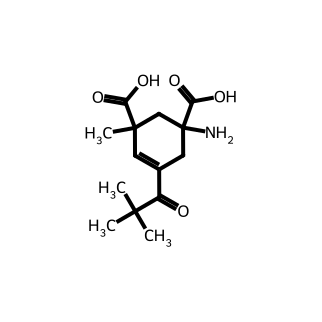 CC(C)(C)C(=O)C1=CC(C)(C(=O)O)CC(N)(C(=O)O)C1